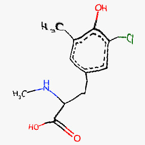 CNC(Cc1cc(C)c(O)c(Cl)c1)C(=O)O